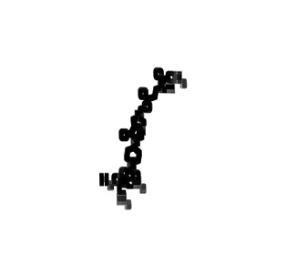 CC(=O)NCCC(=O)OCN1C=C2C(=O)N(C3CCN(C(=O)OC(C)(C)C)CC3)CN2C1